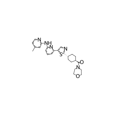 Cc1ccnc(Nc2cccc(-c3cnc([C@H]4CC[C@H](C(=O)N5CCOCC5)CC4)s3)n2)c1